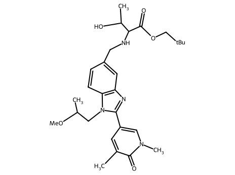 COC(C)Cn1c(-c2cc(C)c(=O)n(C)c2)nc2cc(CNC(C(=O)OCC(C)(C)C)C(C)O)ccc21